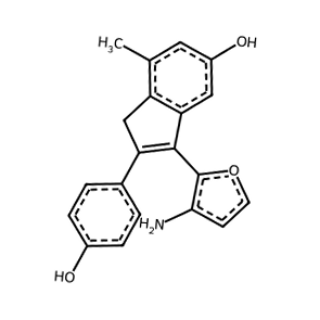 Cc1cc(O)cc2c1CC(c1ccc(O)cc1)=C2c1occc1N